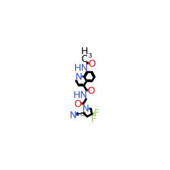 CC(=O)Nc1cccc2c(C(=O)NCC(=O)N3CC(F)(F)C[C@H]3C#N)ccnc12